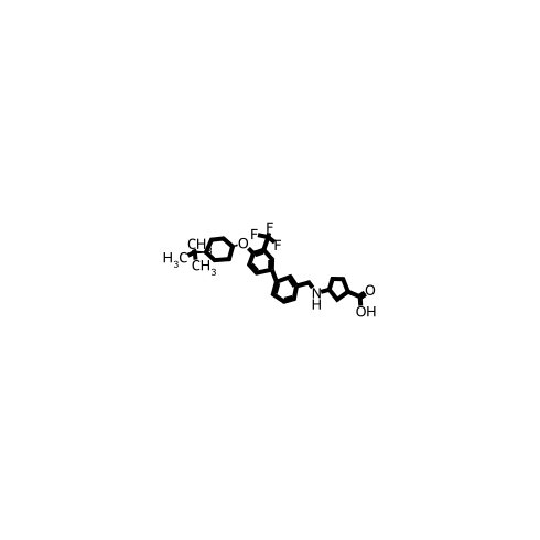 CC(C)(C)[C@H]1CC[C@H](Oc2ccc(-c3cccc(CNC4CCC(C(=O)O)C4)c3)cc2C(F)(F)F)CC1